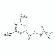 COc1cc(OC)cc(C(C)CCC2(C)CC2)c1